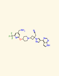 N#CCC1(n2cc(-c3ncnc4[nH]ccc34)cn2)CC(N2CCC(Oc3cc(CN)cc(C(F)(F)F)n3)CC2)C1